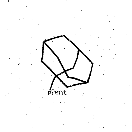 [CH2]CCCCC12CC3CC(CC(C3)C1)C2